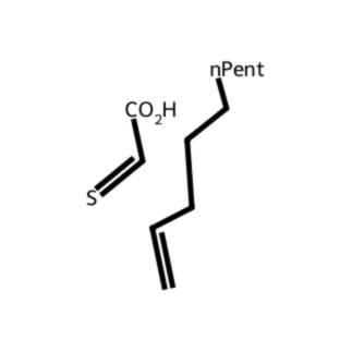 C=CCCCCCCCC.O=C(O)C=S